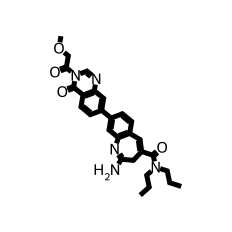 CCCN(CCC)C(=O)C1=Cc2ccc(-c3ccc4c(=O)n(C(=O)COC)cnc4c3)cc2N=C(N)C1